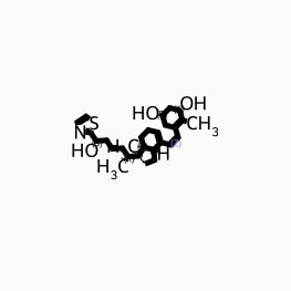 CC1=C(/C=C\C2=CCC[C@]3(C)[C@@H]([C@H](C)CCC[C@H](O)c4nccs4)CC[C@@H]23)C[C@@H](O)C[C@@H]1O